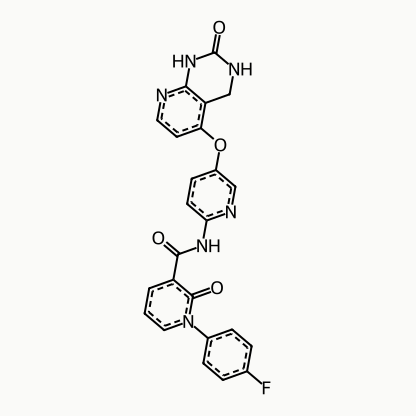 O=C1NCc2c(Oc3ccc(NC(=O)c4cccn(-c5ccc(F)cc5)c4=O)nc3)ccnc2N1